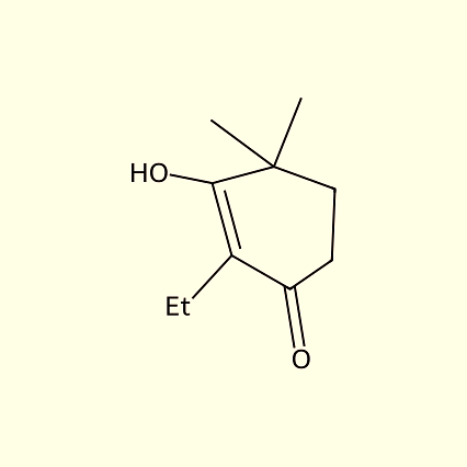 CCC1=C(O)C(C)(C)CCC1=O